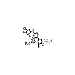 C=C(/N=C\C(=C(/N)n1ccc(C(F)(F)F)n1)c1c[nH]c(=O)c(C(=O)O)c1)Nc1ccc(F)c(Cl)c1